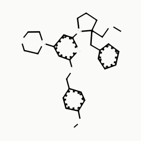 COCC1(Cc2ccccc2)CCCN1c1cc(N2CCOCC2)cc(OCc2ccc(OC)cc2)n1